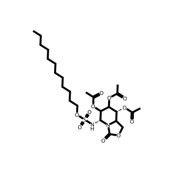 CCCCCCCCCCCCOS(=O)(=O)N[C@@H]1C(OC(C)=O)C(OC(C)=O)[C@H](OC(C)=O)C2COC(=O)N21